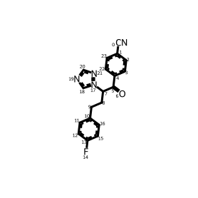 N#Cc1ccc(C(=O)C(CCc2ccc(F)cc2)n2cncn2)cc1